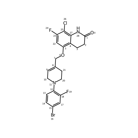 O=C1CCc2c(OCC3=CCN(c4ccc(Br)cc4F)CC3)cc(F)c(Cl)c2N1